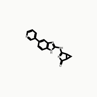 O=C1N=C(Nc2nc3cc(-c4cccnc4)ccc3[nH]2)C2CC12